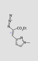 CCOC(=O)/C(=C\c1ccn(C)n1)N=[N+]=[N-]